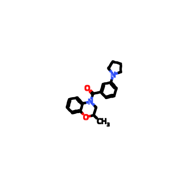 CC1CN(C(=O)c2cccc(N3CCCC3)c2)c2ccccc2O1